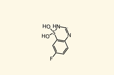 OS1(O)N[C]=Nc2ccc(F)cc21